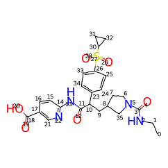 CCNC(=O)N1CCC(CC(C(=O)Nc2ccc(C(=O)O)cn2)c2ccc(S(=O)(=O)C3CC3)cc2)C1